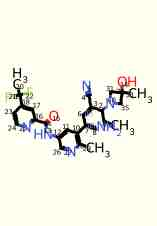 CCC(/C(C#N)=C\C(=C/N)c1cc(NC(=O)c2cc(C(C)(F)F)ccn2)cnc1C)N1CC(C)(O)C1